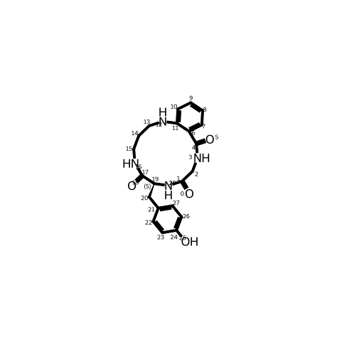 O=C1CNC(=O)c2ccccc2NCCCNC(=O)[C@H](Cc2ccc(O)cc2)N1